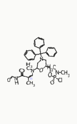 C/C(=C/N(C)C1CN(C(c2ccccc2)(c2ccccc2)c2ccccc2)CC(COP(=O)(Cl)N(C)C)O1)C(=O)NC=O